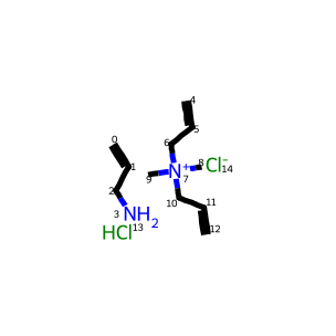 C=CCN.C=CC[N+](C)(C)CC=C.Cl.[Cl-]